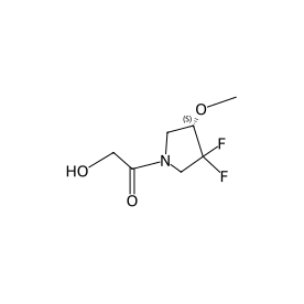 CO[C@H]1CN(C(=O)CO)CC1(F)F